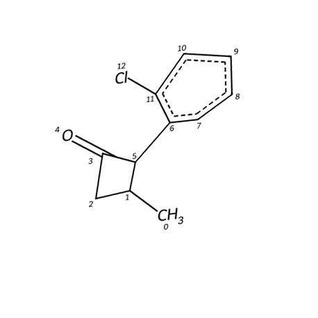 CC1CC(=O)C1c1ccccc1Cl